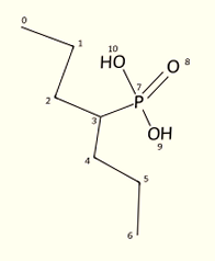 CCCC(CCC)P(=O)(O)O